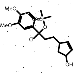 COc1ccc(C(Cl)(CCC2C=CC(O)C2)O[Si](C)(C)C(C)(C)C)cc1OC